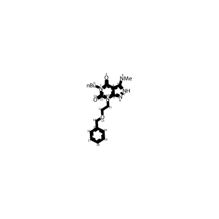 CCCCn1c(=O)c2c(NC)[nH]nc2n(CCOCc2ccccc2)c1=O